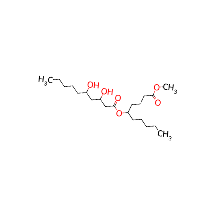 CCCCCC(O)CC(O)CC(=O)OC(CCCCC)CCCC(=O)OC